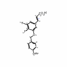 COc1ccc(COc2cc(/C=C/C(=O)O)cc(F)c2F)cc1